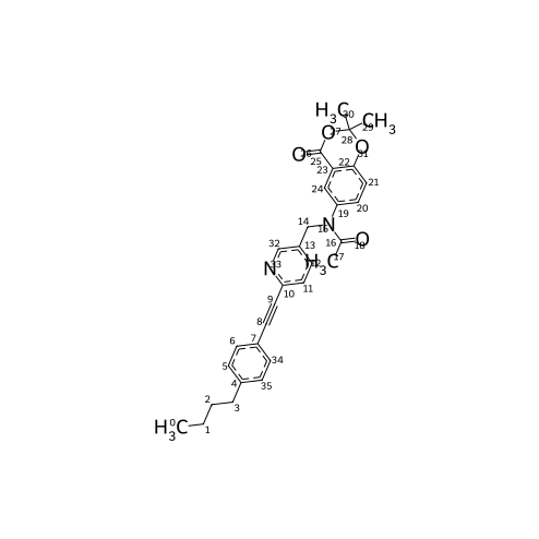 CCCCc1ccc(C#Cc2ccc(CN(C(C)=O)c3ccc4c(c3)C(=O)OC(C)(C)O4)cn2)cc1